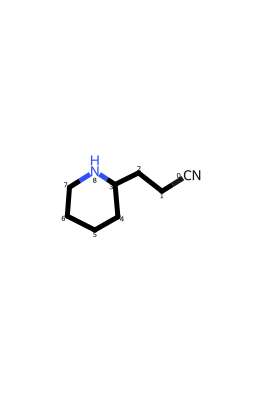 N#CCCC1CCCCN1